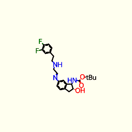 CC(C)(C)OC(=O)NC1c2cc(N=CCNCCc3ccc(F)c(F)c3)ccc2C[C@H]1O